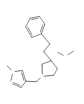 CCOC[C@]1(CCc2ccccc2)CCN(Cc2cnn(C)c2)C1